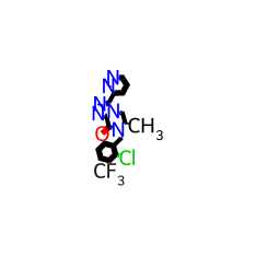 C[C@H]1Cn2c(nnc2-c2cccnn2)C(=O)N1Cc1cccc(C(F)(F)F)c1Cl